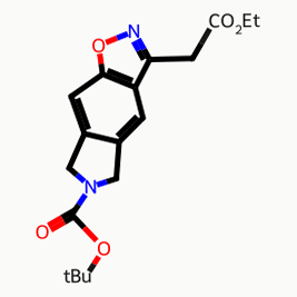 CCOC(=O)Cc1noc2cc3c(cc12)CN(C(=O)OC(C)(C)C)C3